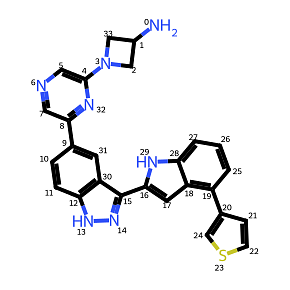 NC1CN(c2cncc(-c3ccc4[nH]nc(-c5cc6c(-c7ccsc7)cccc6[nH]5)c4c3)n2)C1